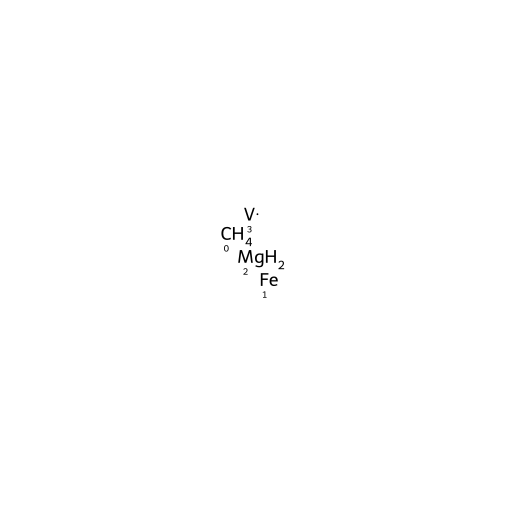 C.[Fe].[MgH2].[V]